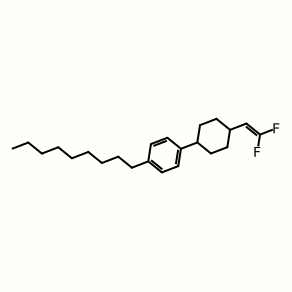 CCCCCCCCCc1ccc(C2CCC(C=C(F)F)CC2)cc1